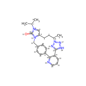 CCCCc1cn(C(C)C)c(=O)n1Cc1ccc(-c2ncccc2-c2nnn[nH]2)cc1